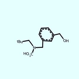 CC(C)(C)CN(Cc1cccc(CO)c1)C(=O)O